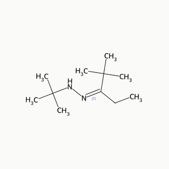 CC/C(=N/NC(C)(C)C)C(C)(C)C